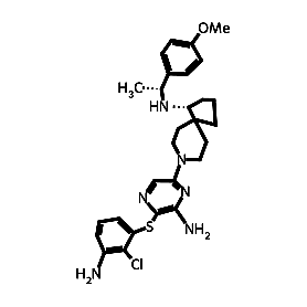 COc1ccc([C@@H](C)N[C@@H]2CCCC23CCN(c2cnc(Sc4cccc(N)c4Cl)c(N)n2)CC3)cc1